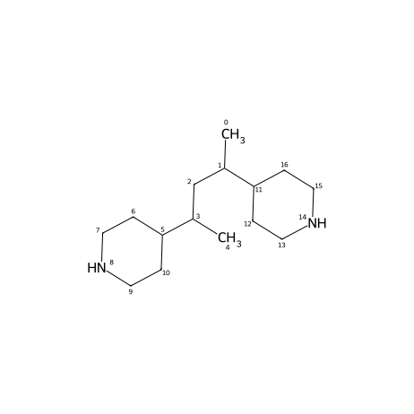 CC(CC(C)C1CCNCC1)C1CCNCC1